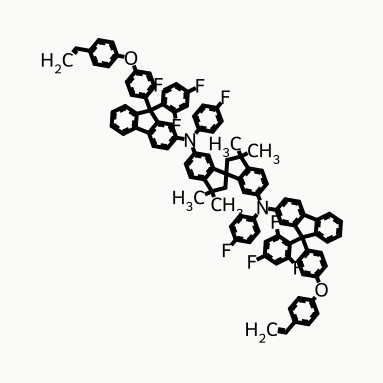 C=Cc1ccc(Oc2ccc(C3(c4c(F)cc(F)cc4F)c4ccccc4-c4ccc(N(c5ccc(F)cc5)c5ccc6c(c5)C5(CC6(C)C)CC(C)(C)c6ccc(N(c7ccc(F)cc7)c7ccc8c(c7)C(c7ccc(Oc9ccc(C=C)cc9)cc7)(c7c(F)cc(F)cc7F)c7ccccc7-8)cc65)cc43)cc2)cc1